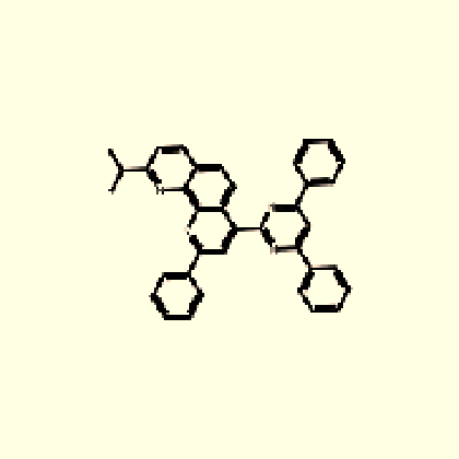 CC(C)c1ccc2ccc3c(-c4nc(-c5ccccc5)cc(-c5ccccc5)n4)cc(-c4ccccc4)nc3c2n1